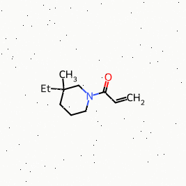 C=CC(=O)N1CCCC(C)(CC)C1